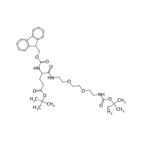 CC(C)(C)OC(=O)CCC(NC(=O)OCC1c2ccccc2-c2ccccc21)C(=O)NCCOCCOCCNC(=O)OC(C)(C)C